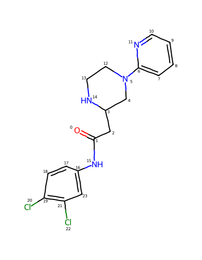 O=C(CC1CN(c2ccccn2)CCN1)Nc1ccc(Cl)c(Cl)c1